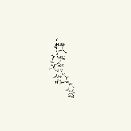 Cc1nn(C)cc1-c1ccc(N[C@H]2CC3CN(CCC(C)(C)C)C[C@H]3C2)c(F)c1F